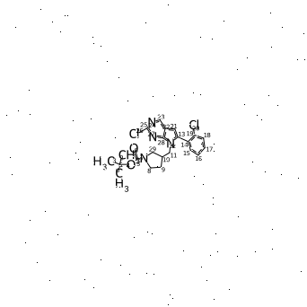 CC(C)(C)OC(=O)N1CCC(Cn2c(-c3ccccc3Cl)cc3cnc(Cl)nc32)C1